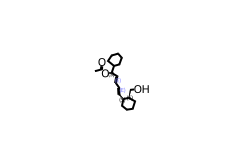 CC(=O)O[C@H](/C=C/C=C/[C@@H]1CCCC[C@@H]1CO)C1CCCCC1